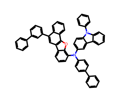 c1ccc(-c2ccc(N(c3ccc4c(c3)c3ccccc3n4-c3ccccc3)c3cccc4c3oc3c5ccccc5c(-c5cccc(-c6ccccc6)c5)cc43)cc2)cc1